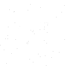 C=C(CC(C)(C)C)NCCCCCC